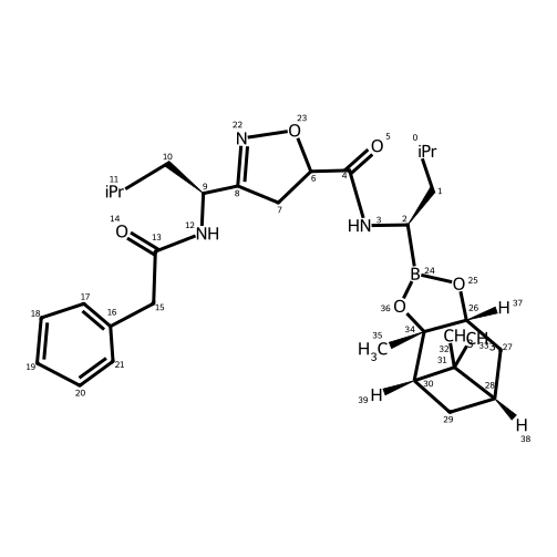 CC(C)C[C@H](NC(=O)C1CC([C@H](CC(C)C)NC(=O)Cc2ccccc2)=NO1)B1O[C@@H]2C[C@@H]3C[C@@H](C3(C)C)[C@]2(C)O1